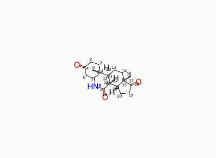 C[C@]12CCC(=O)CC1NC(=O)[C@@H]1[C@@H]2CC[C@]2(C)C(=O)CC[C@@H]12